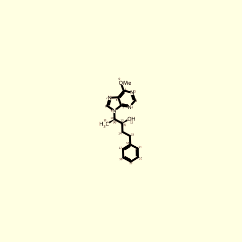 COc1ncnc2c1ncn2[C@H](C)[C@@H](O)CCc1ccccc1